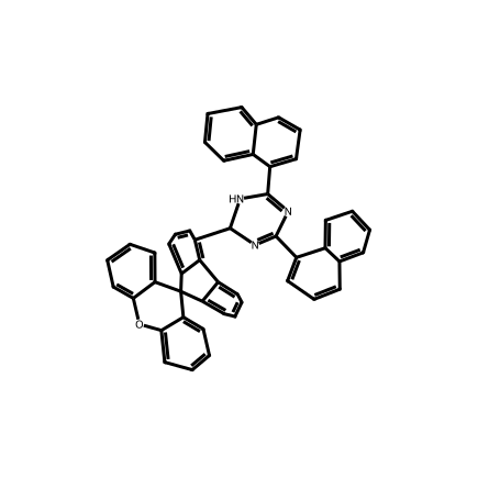 c1ccc2c(c1)Oc1ccccc1C21c2ccccc2-c2c(C3N=C(c4cccc5ccccc45)N=C(c4cccc5ccccc45)N3)cccc21